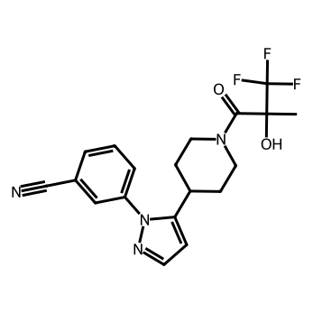 CC(O)(C(=O)N1CCC(c2ccnn2-c2cccc(C#N)c2)CC1)C(F)(F)F